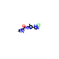 Cc1cc(-c2ccnc(Cl)n2)ccc1CNC(=O)c1cnn(C(C)(C)C)c1